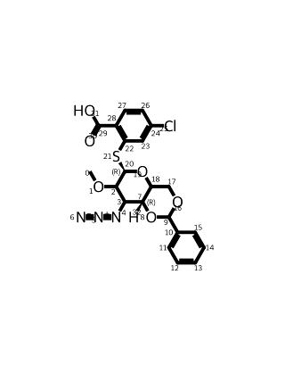 COC1C(N=[N+]=[N-])[C@H]2OC(c3ccccc3)OCC2O[C@@H]1Sc1cc(Cl)ccc1C(=O)O